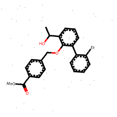 CCc1ccccc1-c1cccc(C(C)O)c1OCc1ccc(C(=O)OC)cc1